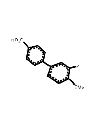 COc1ccc(-c2ccc(C(=O)O)cc2)cc1F